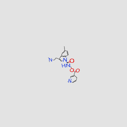 Cc1ccc2c(c1)c(CCN(C)C)cn2C(=O)NCOC(=O)C1=CN(C)C=CC1